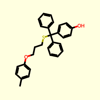 Cc1ccc(OCCCSC(c2ccccc2)(c2ccccc2)c2ccc(O)cc2)cc1